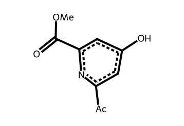 COC(=O)c1cc(O)cc(C(C)=O)n1